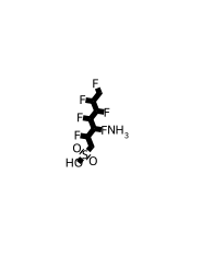 N.O=S(=O)(O)CC(F)C(F)C(F)C(F)C(F)CF